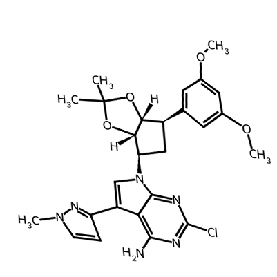 COc1cc(OC)cc([C@H]2C[C@@H](n3cc(-c4ccn(C)n4)c4c(N)nc(Cl)nc43)[C@@H]3OC(C)(C)O[C@@H]32)c1